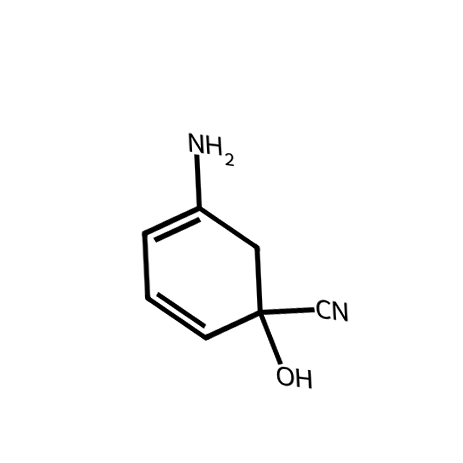 N#CC1(O)C=CC=C(N)C1